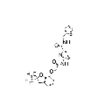 CC1(C)Cc2cccc(OCC(=O)Nc3nc(C(=O)NCc4cccs4)cs3)c2O1